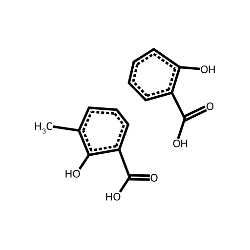 Cc1cccc(C(=O)O)c1O.O=C(O)c1ccccc1O